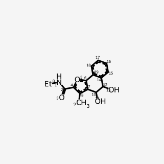 CCNC(=O)c1oc2c(c1C)C(O)C(O)c1ccccc1-2